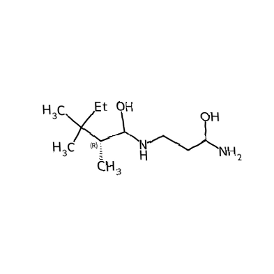 CCC(C)(C)[C@@H](C)C(O)NCCC(N)O